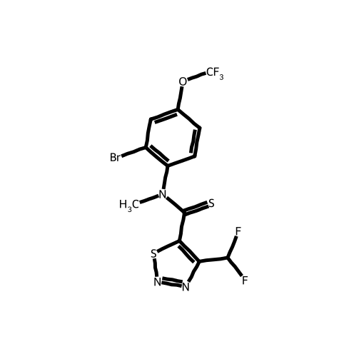 CN(C(=S)c1snnc1C(F)F)c1ccc(OC(F)(F)F)cc1Br